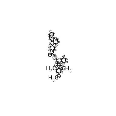 COc1cc(C)c(S(=O)(=O)N(CCOCC(=O)N2CCC(CCCN3CCCC3)(c3cccnc3)CC2)c2ccccc2)c(C)c1